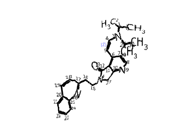 CC(C)N(/C=C\c1ccnc2c1C(=O)N(CCc1ccc3ccccc3n1)C2)C(C)C